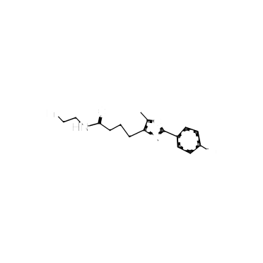 CCc1ccc(-c2nc(CCCC(=O)NCCC(C)C)c(C)o2)cc1